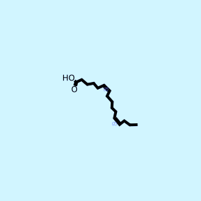 CCC/C=C\CCCC/C=C\CCCCC(=O)O